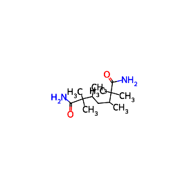 CC(CC(C)C(C)(C)C(N)=O)C(C)(C)C(N)=O